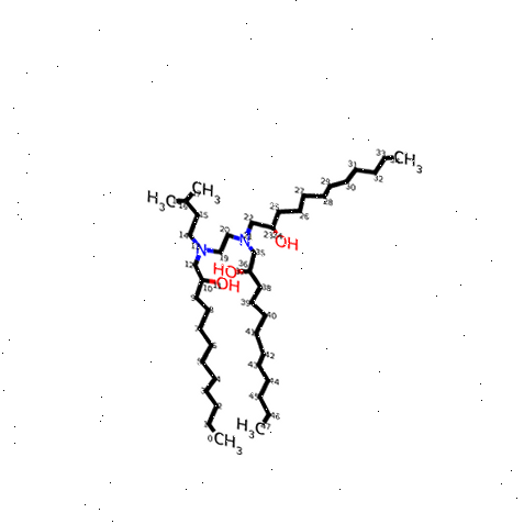 CCCCCCCCCCC(O)CN(CCC(C)C)CCN(CC(O)CCCCCCCCCC)CC(O)CCCCCCCCCC